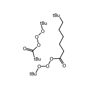 CC(C)(C)CCCCCC(=O)OOOC(C)(C)C.CC(C)(C)OOOC(=O)C(C)(C)C